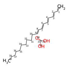 C=CC=CC=CC=CC=CCCCCCCCCCC.O=C(O)O